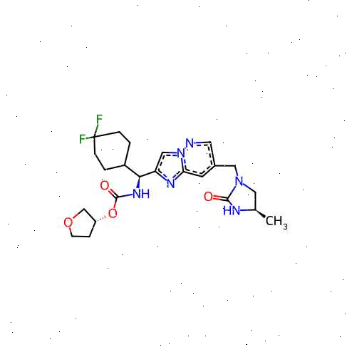 C[C@@H]1CN(Cc2cnn3cc([C@@H](NC(=O)O[C@@H]4CCOC4)C4CCC(F)(F)CC4)nc3c2)C(=O)N1